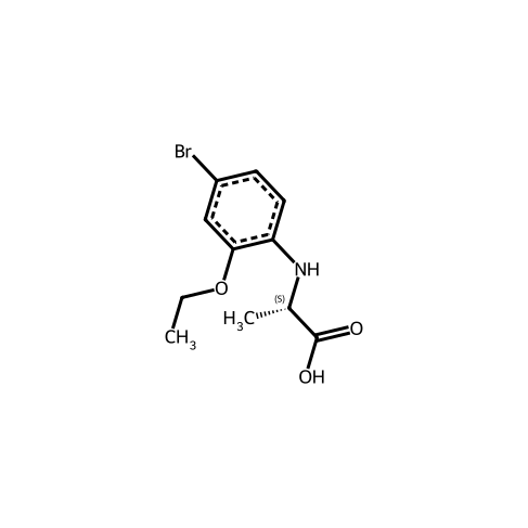 CCOc1cc(Br)ccc1N[C@@H](C)C(=O)O